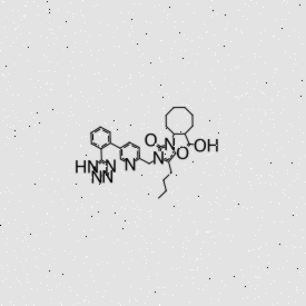 CCCCc1cn(C2CCCCCCC2C(=O)O)c(=O)n1Cc1ccc(-c2ccccc2-c2nnn[nH]2)cn1